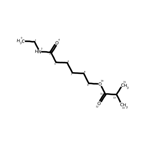 CCNC(=O)CCCCCOC(=O)C(C)C